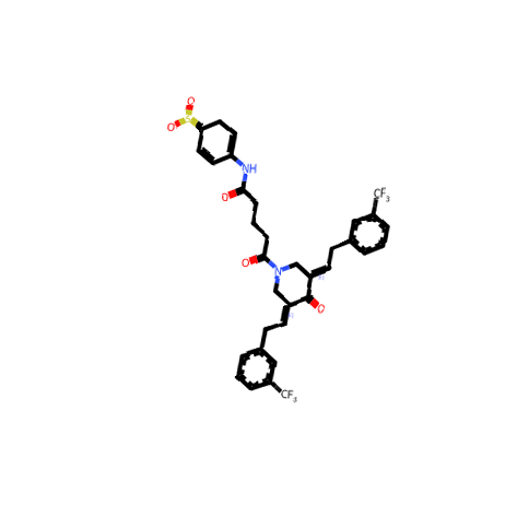 O=C(CCCC(=O)N1C/C(=C\Cc2cccc(C(F)(F)F)c2)C(=O)/C(=C/Cc2cccc(C(F)(F)F)c2)C1)NC1=CCC(=S(=O)=O)C=C1